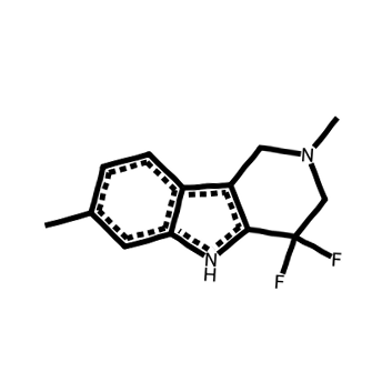 Cc1ccc2c3c([nH]c2c1)C(F)(F)CN(C)C3